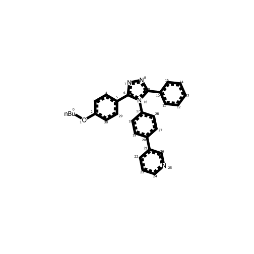 CCCCOc1ccc(-c2nnc(-c3ccccc3)n2-c2ccc(-c3cccnc3)cc2)cc1